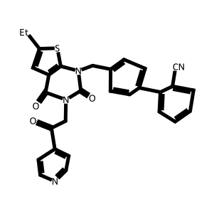 CCc1cc2c(=O)n(CC(=O)c3ccncc3)c(=O)n(Cc3ccc(-c4ccccc4C#N)cc3)c2s1